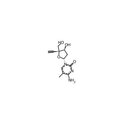 C#C[C@]1(CO)O[C@@H](n2cc(C)c(N)nc2=O)C[C@@H]1O